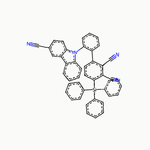 N#Cc1ccc2c(c1)c1ccccc1n2-c1ccccc1-c1ccc([Si](c2ccccc2)(c2ccccc2)c2ccccc2)c(C#N)c1C#N